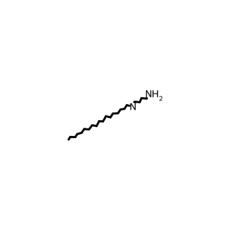 CCCCCCCCCCCCCCCCCCN=CCCCN